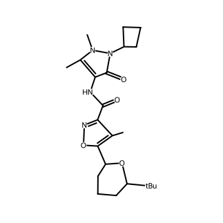 Cc1c(C(=O)Nc2c(C)n(C)n(C3CCC3)c2=O)noc1C1CCCC(C(C)(C)C)O1